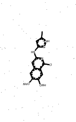 COc1cc2cc(Nc3cc(C)[nH]n3)nc(Cl)c2cc1OC